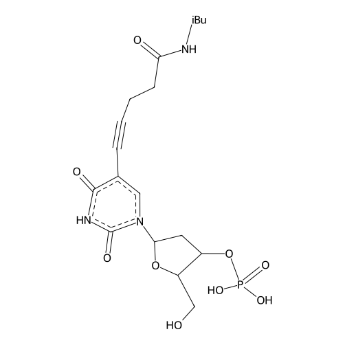 CCC(C)NC(=O)CCC#Cc1cn(C2CC(OP(=O)(O)O)C(CO)O2)c(=O)[nH]c1=O